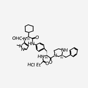 CCC(=O)N[C@H](Cc1ccc(NC(=O)[C@H](C2CCCCC2)N(C=O)c2ccnn2C)cc1)C(=O)N1CCN[C@@H](Cc2ccccc2)C1.Cl